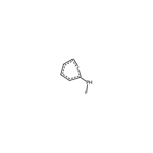 FPc1ccccc1